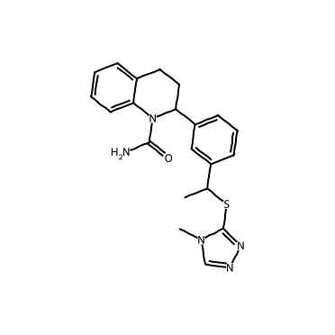 CC(Sc1nncn1C)c1cccc(C2CCc3ccccc3N2C(N)=O)c1